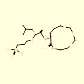 CC(C)C[C@H](NCCCP(=O)(O)O)C(=O)N[C@H]1CCCCCCCCCCNC1=O